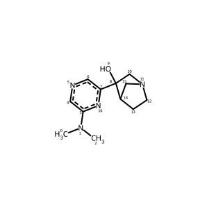 CN(C)c1cncc(C2(O)CN3CCC2C3)n1